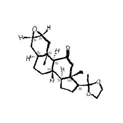 CC1([C@H]2CC[C@H]3[C@@H]4CC[C@H]5C[C@@H]6O[C@@H]6C[C@]5(C)[C@H]4C(=O)C[C@]23C)OCCO1